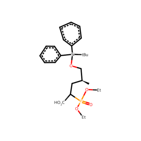 CCOP(=O)(OCC)C(C[C@H](C)CO[Si](c1ccccc1)(c1ccccc1)C(C)(C)C)C(=O)O